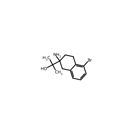 CC(C)(O)C1(N)CCc2c(Br)cccc2C1